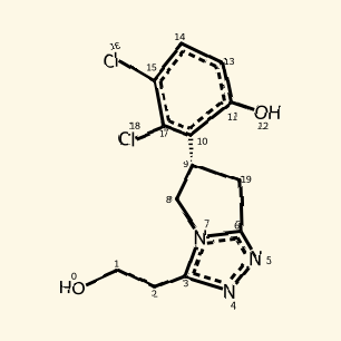 OCCc1nnc2n1C[C@H](c1c(O)ccc(Cl)c1Cl)C2